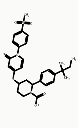 CCC(C)(C)c1ccc(C2CC(Oc3ccn(-c4ccc(S(C)(=O)=O)cc4)c(=O)c3)CCN2C(=O)O)cc1